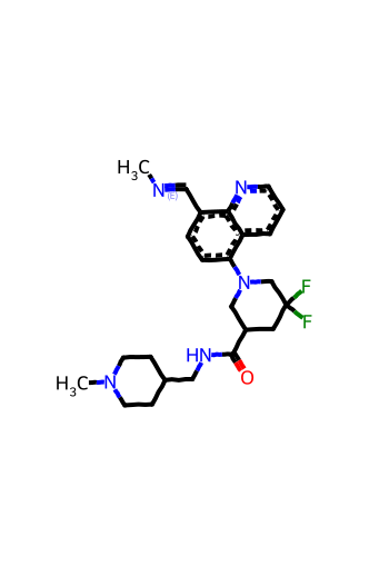 C/N=C/c1ccc(N2CC(C(=O)NCC3CCN(C)CC3)CC(F)(F)C2)c2cccnc12